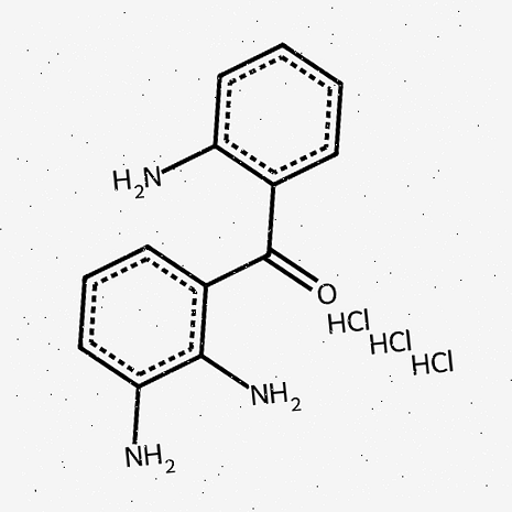 Cl.Cl.Cl.Nc1ccccc1C(=O)c1cccc(N)c1N